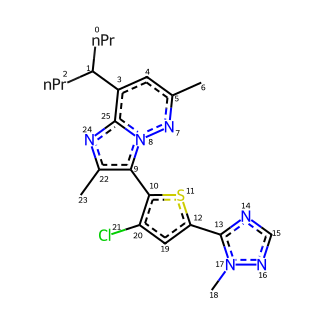 CCCC(CCC)c1cc(C)nn2c(-c3sc(-c4ncnn4C)cc3Cl)c(C)nc12